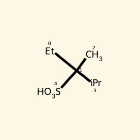 CCC(C)(C(C)C)S(=O)(=O)O